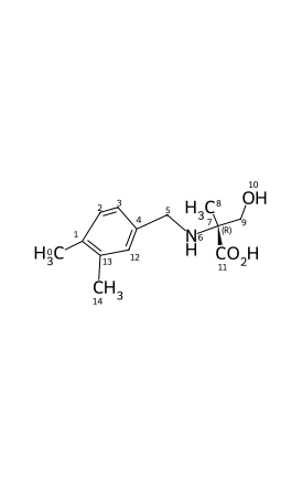 Cc1ccc(CN[C@](C)(CO)C(=O)O)cc1C